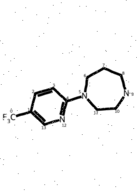 FC(F)(F)c1ccc(N2CCC[N]CC2)nc1